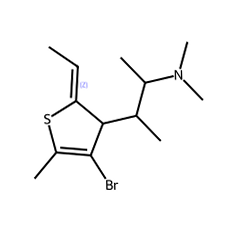 C/C=C1\SC(C)=C(Br)C1C(C)C(C)N(C)C